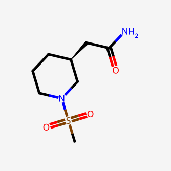 CS(=O)(=O)N1CCC[C@@H](CC(N)=O)C1